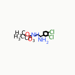 CC(C)(C)OC(=O)NCCC(N)c1ccc(Cl)c(Cl)c1